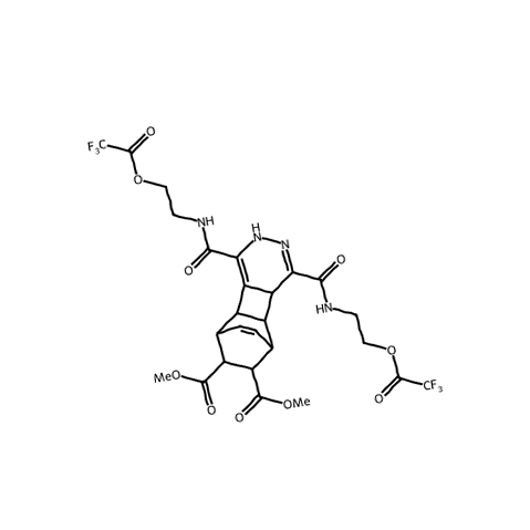 COC(=O)C1C2C=CC(C1C(=O)OC)C1C3C(C(=O)NCCOC(=O)C(F)(F)F)=NNC(C(=O)NCCOC(=O)C(F)(F)F)=C3C21